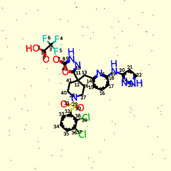 O=C(O)C(F)(F)F.O=c1[nH]nc(C2(Cc3cccc(Nc4cc[nH]n4)n3)CCN(S(=O)(=O)c3cccc(Cl)c3Cl)CC2)o1